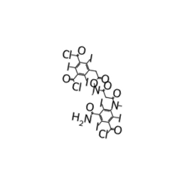 CN(OC(=O)Cc1c(I)c(C(=O)Cl)c(I)c(C(=O)Cl)c1I)C(=O)CC(=O)N(C)c1c(I)c(C(N)=O)c(I)c(C(=O)Cl)c1I